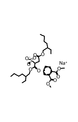 CCCCC(CC)COC(=O)CC(C(=O)OCC(CC)CCCC)S(=O)(=O)[O-].COC(=O)c1ccccc1C(=O)OC.[Na+]